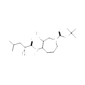 CC(C)C[C@H](N)C(=O)NC1CCCN(C(=O)OC(C)(C)C)CC1O